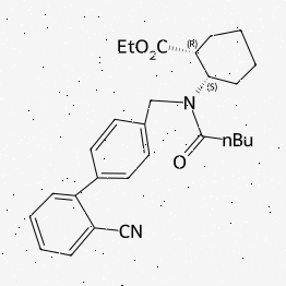 CCCCC(=O)N(Cc1ccc(-c2ccccc2C#N)cc1)[C@H]1CCCC[C@H]1C(=O)OCC